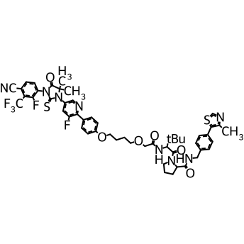 Cc1ncsc1-c1ccc(CNC(=O)C2CCCN2C(=O)C(NC(=O)COCCCCOc2ccc(-c3ncc(N4C(=S)N(c5ccc(C#N)c(C(F)(F)F)c5F)C(=O)C4(C)C)cc3F)cc2)C(C)(C)C)cc1